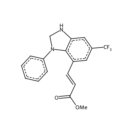 COC(=O)C=Cc1cc(C(F)(F)F)cc2c1N(c1ccccc1)CN2